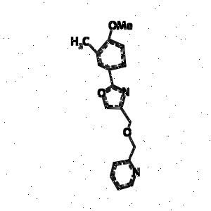 COc1ccc(-c2nc(COCc3ccccn3)co2)cc1C